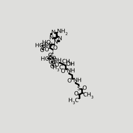 CCC(=O)C(C)C(=O)SCCNC(=O)CCNC(=O)C(O)C(C)(C)COP(=O)(O)OP(=O)(O)OC[C@H]1O[C@@H](n2cnc3c(N)ncnc32)[C@H](O)[C@@H]1OP(=O)(O)O